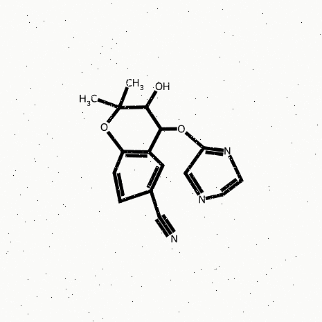 CC1(C)Oc2ccc(C#N)cc2C(Oc2cnccn2)C1O